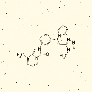 Cn1cnnc1CC(c1cccc(-n2cc3c(C(F)(F)F)cccn3c2=O)c1)n1cccn1